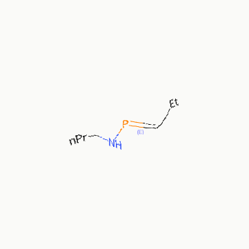 CC/C=P/NCCC